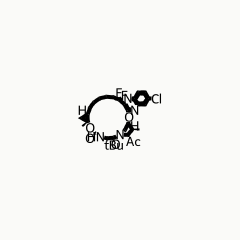 CC(=O)[C@@H]1[C@H](C)[C@@H]2CN1C(=O)[C@H](C(C)(C)C)NC(=O)O[C@]1(C)C[C@H]1CCCCCC(F)(F)c1nc3ccc(Cl)cc3nc1O2